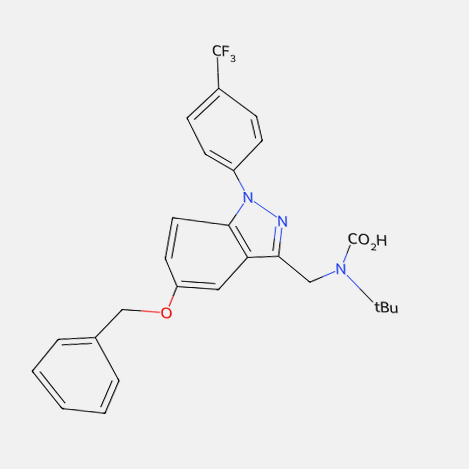 CC(C)(C)N(Cc1nn(-c2ccc(C(F)(F)F)cc2)c2ccc(OCc3ccccc3)cc12)C(=O)O